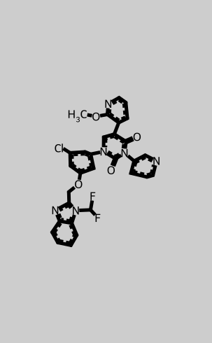 COc1ncccc1-c1cn(-c2cc(Cl)cc(OCc3nc4ccccc4n3C(F)F)c2)c(=O)n(-c2cccnc2)c1=O